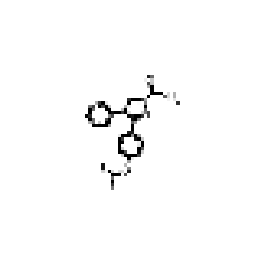 NC(=O)N1CC(c2ccccc2)C(c2ccc(OC(F)F)cc2)=N1